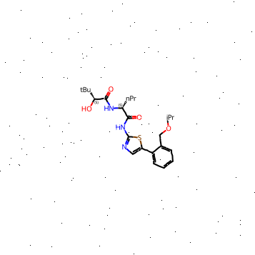 CCC[C@H](NC(=O)[C@@H](O)C(C)(C)C)C(=O)Nc1ncc(-c2ccccc2COC(C)C)s1